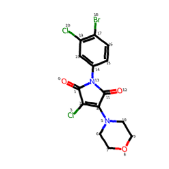 O=C1C(Cl)=C(N2CCOCC2)C(=O)N1c1ccc(Br)c(Cl)c1